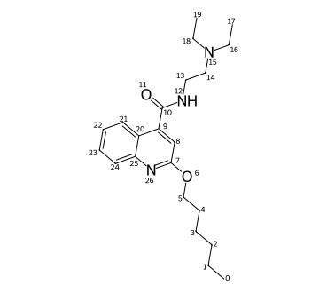 CCCCCCOc1cc(C(=O)NCCN(CC)CC)c2ccccc2n1